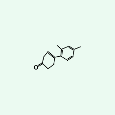 Cc1ccc(C2=CCC(=O)CC2)c(C)c1